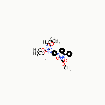 CCOC(=O)CN1N=C(C2CCCCC2)c2ccccc2N(c2ccc(NC(=NC(=O)OC(C)(C)C)NC(=O)OC(C)(C)C)cc2)C1=O